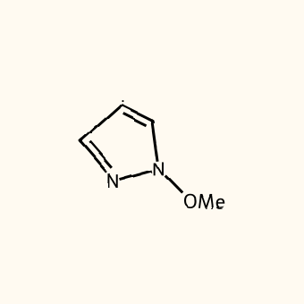 COn1c[c]cn1